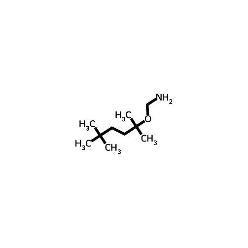 CC(C)(C)CCC(C)(C)OCN